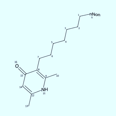 CCCCCCCCCCCCCCCCc1c(C)[nH]c(C)cc1=O